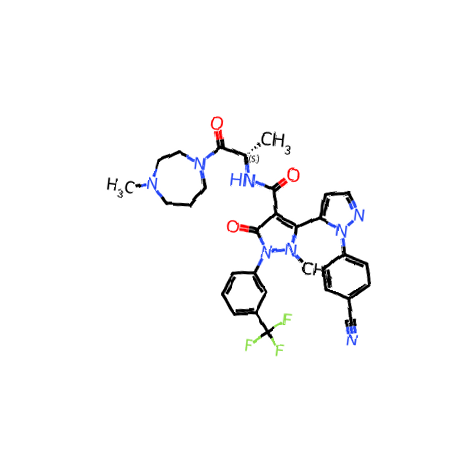 C[C@H](NC(=O)c1c(-c2ccnn2-c2ccc(C#N)cc2)n(C)n(-c2cccc(C(F)(F)F)c2)c1=O)C(=O)N1CCCN(C)CC1